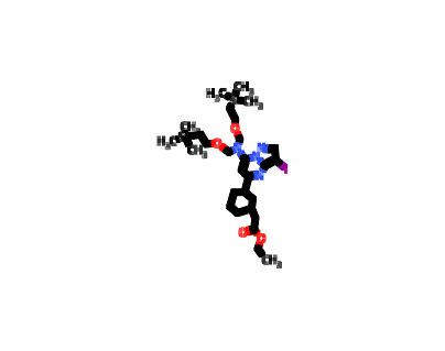 CCOC(=O)CC1CCCC(c2cc(N(COCC[Si](C)(C)C)COCC[Si](C)(C)C)n3ncc(I)c3n2)C1